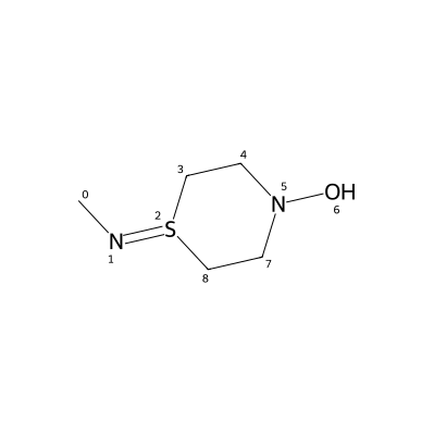 CN=S1CCN(O)CC1